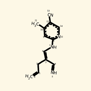 C=CC/C(C=N)=C/Nc1cc(C)c(C#N)cn1